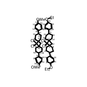 CCOc1ccc(C2CCC3(CC2)CC2(CCC(c4ccc(OCC)cc4)CC2)C3(Cl)Cl)cc1.COc1ccc(C2CCC3(CC2)CC2(CCC(c4ccc(OC)cc4)CC2)C3(Cl)Cl)cc1